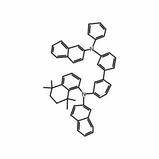 CC1(C)CCC(C)(C)c2c(N(c3cccc(-c4cccc(N(c5ccccc5)c5ccc6ccccc6c5)c4)c3)c3ccc4ccccc4c3)cccc21